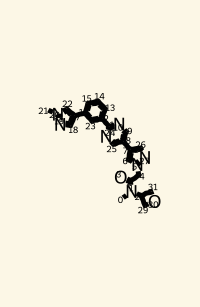 CN(C(=O)Cn1cc(-c2cnc(-c3cccc(-c4cnn(C)c4)c3)nc2)cn1)C1COC1